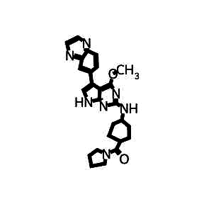 COc1nc(NC2CCC(C(=O)N3CCCC3)CC2)nc2[nH]cc(-c3ccc4nccnc4c3)c12